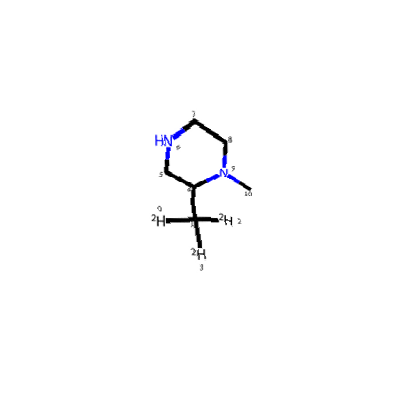 [2H]C([2H])([2H])C1CNCCN1C